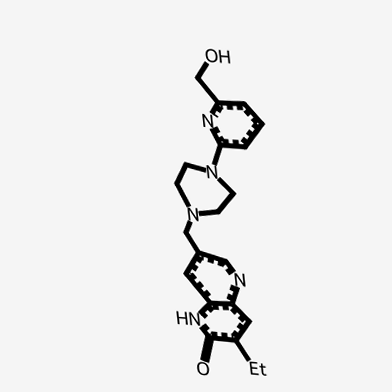 CCc1cc2ncc(CN3CCN(c4cccc(CO)n4)CC3)cc2[nH]c1=O